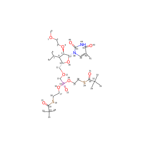 COCCO[C@@H]1C(C(C)C)[C@@H](COCP(=O)(OCCSC(=O)C(C)(C)C)OCCSC(=O)C(C)(C)C)O[C@H]1n1cc(C)c(=O)[nH]c1=O